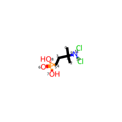 CC(C)(CCP(=O)(O)O)N(Cl)Cl